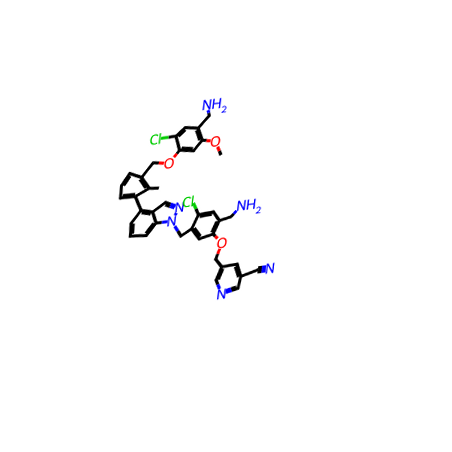 COc1cc(OCc2cccc(-c3cccc4c3cnn4Cc3cc(OCc4cncc(C#N)c4)c(CN)cc3Cl)c2C)c(Cl)cc1CN